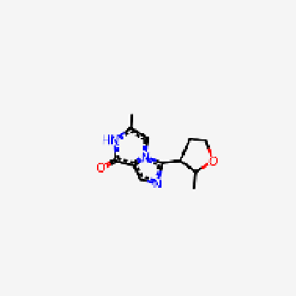 Cc1cn2c(C3CCOC3C)ncc2c(=O)[nH]1